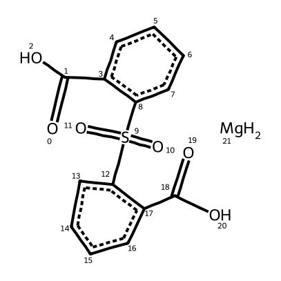 O=C(O)c1ccccc1S(=O)(=O)c1ccccc1C(=O)O.[MgH2]